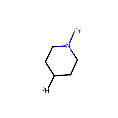 [3H]C1CCN(C(C)C)CC1